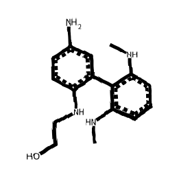 CNc1cccc(NC)c1-c1cc(N)ccc1NCCO